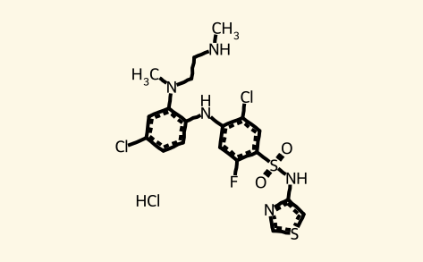 CNCCN(C)c1cc(Cl)ccc1Nc1cc(F)c(S(=O)(=O)Nc2cscn2)cc1Cl.Cl